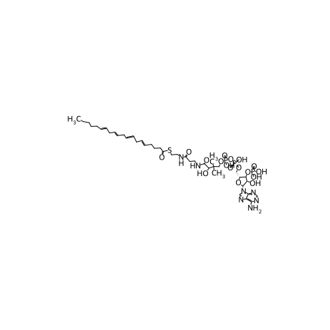 CCCCCC=CCC=CCC=CCC=CCCCC(=O)SCCNC(=O)CCNC(=O)[C@H](O)C(C)(C)COP(=O)(O)OP(=O)(O)OC[C@H]1O[C@@H](n2cnc3c(N)ncnc32)[C@H](O)[C@@H]1OP(=O)(O)O